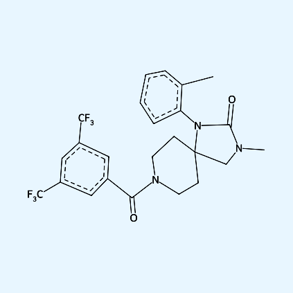 Cc1ccccc1N1C(=O)N(C)CC12CCN(C(=O)c1cc(C(F)(F)F)cc(C(F)(F)F)c1)CC2